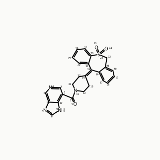 O=C(c1cncc2nc[nH]c12)N1CCC(=C2c3ccccc3CS(=O)(=O)c3ccccc32)CC1